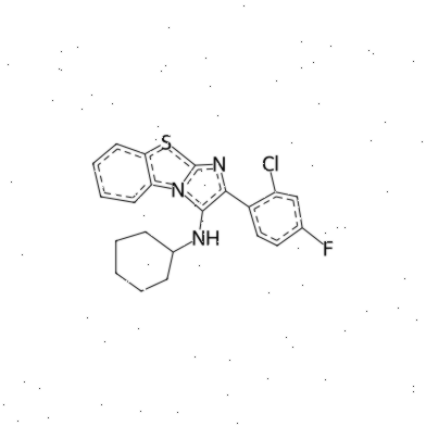 Fc1ccc(-c2nc3sc4ccccc4n3c2NC2CCCCC2)c(Cl)c1